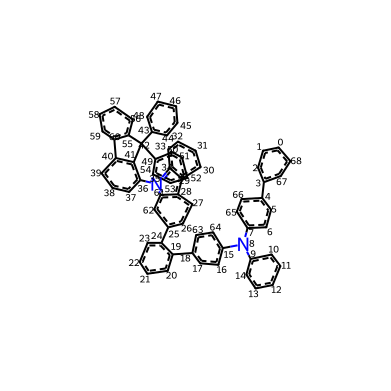 c1ccc(-c2ccc(N(c3ccccc3)c3ccc(-c4ccccc4-c4ccc5c6ccccc6n(-c6cccc7c6C(c6ccccc6)(c6ccccc6)c6ccccc6-7)c5c4)cc3)cc2)cc1